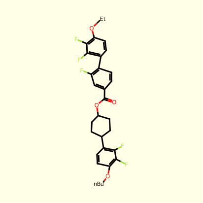 CCCCOc1ccc(C2CCC(OC(=O)c3ccc(-c4ccc(OCC)c(F)c4F)c(F)c3)CC2)c(F)c1F